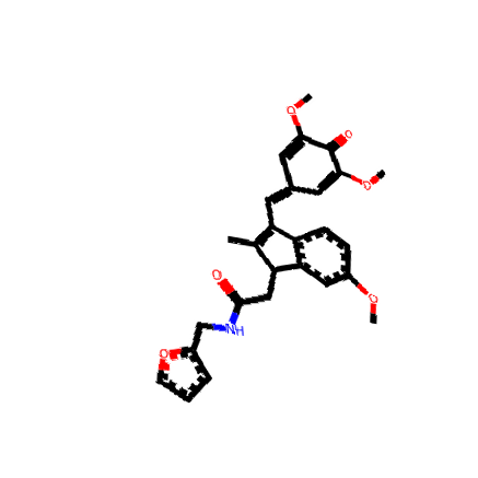 COC1=CC(=CC2=C(C)C(CC(=O)NCc3ccco3)c3cc(OC)ccc32)C=C(OC)C1=O